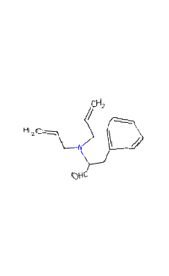 C=CCN(CC=C)C(C=O)Cc1ccccc1